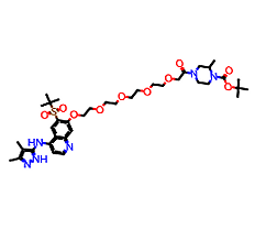 Cc1n[nH]c(Nc2ccnc3cc(OCCOCCOCCOCCOCC(=O)N4CCN(C(=O)OC(C)(C)C)C(C)C4)c(S(=O)(=O)C(C)(C)C)cc23)c1C